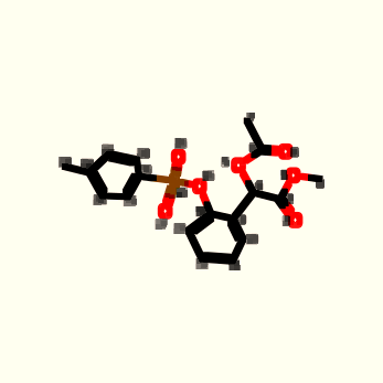 COC(=O)C(OC(C)=O)c1ccccc1OS(=O)(=O)c1ccc(C)cc1